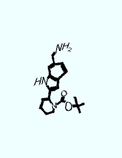 CC(C)(C)OC(=O)N1CCCCC1c1cc2ccc(CN)cc2[nH]1